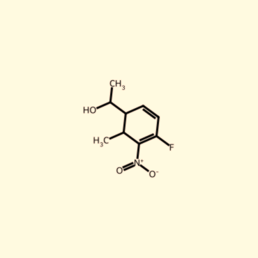 CC(O)C1C=CC(F)=C([N+](=O)[O-])C1C